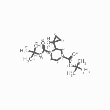 CC(C)(C)OC(=O)N1CCN(C(=O)OC(C)(C)C)C(C2(O)CC2)C1